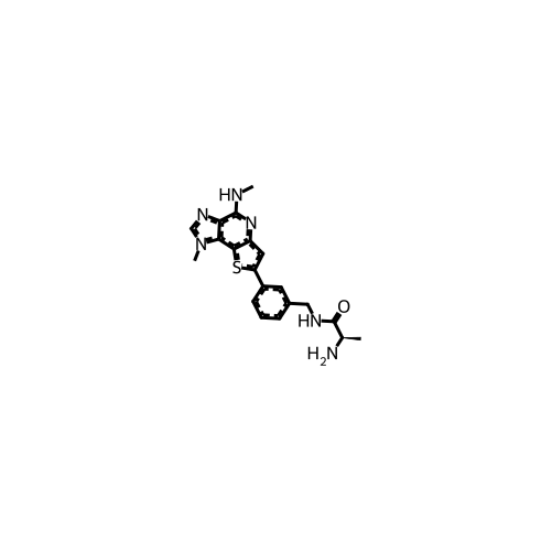 CNc1nc2cc(-c3cccc(CNC(=O)[C@@H](C)N)c3)sc2c2c1ncn2C